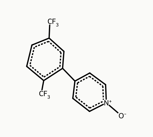 [O-][n+]1ccc(-c2cc(C(F)(F)F)ccc2C(F)(F)F)cc1